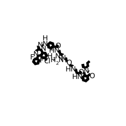 C=CC(CCC)N(C)Cc1c(C=O)cccc1NC(=O)CCNCCOCCN(N)/C=C(\N)CNC(=O)c1ccc(Nc2ncc3c(n2)-c2ccc(Cl)cc2C(c2c(F)cccc2F)=NC3)cc1